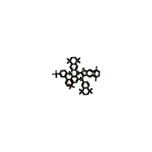 CC(C)(C)c1ccc(N2c3cc4c(cc3B3c5sc6cc7c(cc6c5N(c5ccc6c(c5)C(C)(C)CCC6(C)C)c5cc(C(C)(C)C)cc2c53)C2(C)CCC7(C)CC2)C(C)(C)CCC4(C)C)c(-c2ccccc2)c1